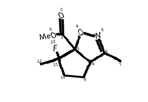 COC(=O)C12ON=C(C)C1CCC2(C)F